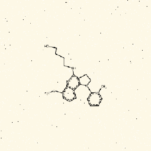 Cc1ccccc1N1CCc2c(NCCCCO)nc3c(OC(F)(F)F)cccc3c21